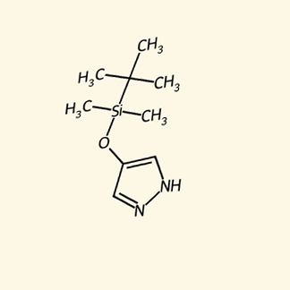 CC(C)(C)[Si](C)(C)Oc1cn[nH]c1